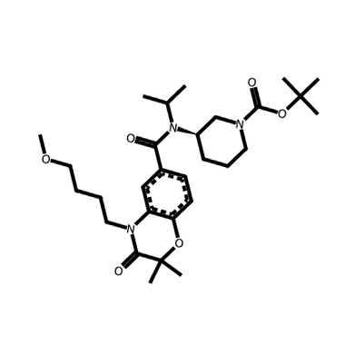 COCCCCN1C(=O)C(C)(C)Oc2ccc(C(=O)N(C(C)C)[C@@H]3CCCN(C(=O)OC(C)(C)C)C3)cc21